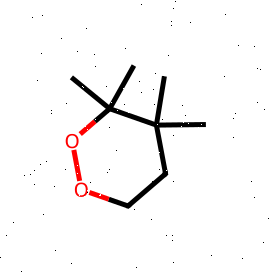 CC1(C)CCOOC1(C)C